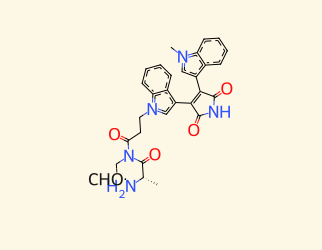 C[C@H](N)C(=O)N(C[C]=O)C(=O)CCn1cc(C2=C(c3cn(C)c4ccccc34)C(=O)NC2=O)c2ccccc21